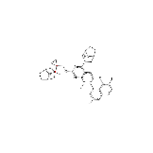 Oc1cc(-c2ccc3c(N4CC5CCC(C4)N5)nc(OCC4(CN5C6CCC5CC(F)(F)C6)CC4)nc3c2F)c2c(F)c(F)ccc2c1